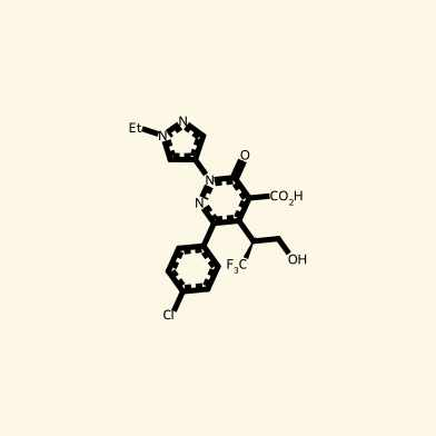 CCn1cc(-n2nc(-c3ccc(Cl)cc3)c([C@@H](CO)C(F)(F)F)c(C(=O)O)c2=O)cn1